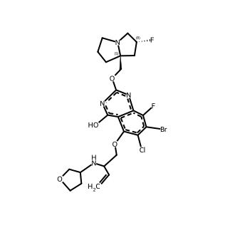 C=CC(COc1c(Cl)c(Br)c(F)c2nc(OC[C@@]34CCCN3C[C@H](F)C4)nc(O)c12)NC1CCOC1